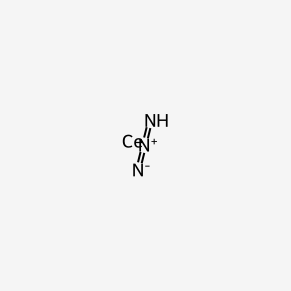 [Ce].[N-]=[N+]=N